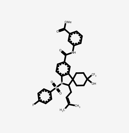 COC(=O)c1cccc(NC(=O)c2ccc3c(c2)C2(CCC(O)(C(F)(F)F)CC2)C(CC=C(C)C)N3S(=O)(=O)c2ccc(F)cc2)c1